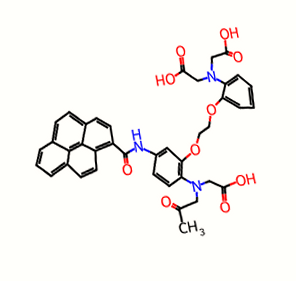 CC(=O)CN(CC(=O)O)c1ccc(NC(=O)c2ccc3ccc4cccc5ccc2c3c45)cc1OCCOc1ccccc1N(CC(=O)O)CC(=O)O